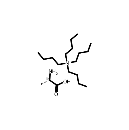 CCCC[N+](CCCC)(CCCC)CCCC.C[C@H](N)C(=O)O